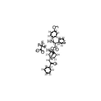 COc1ccc(NC(C(=O)O[C@H]2C[N+]3(CC(=O)c4ccccc4)CCC2CC3)c2ccsc2)cc1.O=C([O-])C(F)(F)F